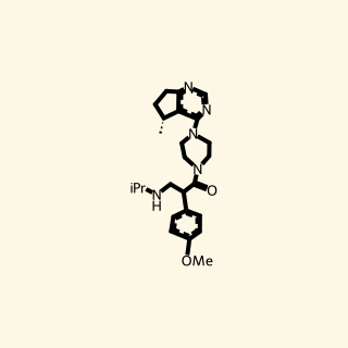 COc1ccc(C(CNC(C)C)C(=O)N2CCN(c3ncnc4c3[C@H](C)CC4)CC2)cc1